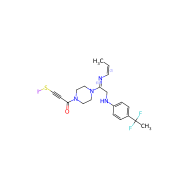 C/C=C\N=C(/CNc1ccc(C(C)(F)F)cc1)N1CCN(C(=O)C#CSI)CC1